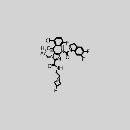 CC(=O)Cn1c(C(=O)NCCN2CC(F)C2)nc(NC(=O)N2CCc3cc(F)c(F)cc32)c1[C@@H](C)c1cc(F)ccc1Cl